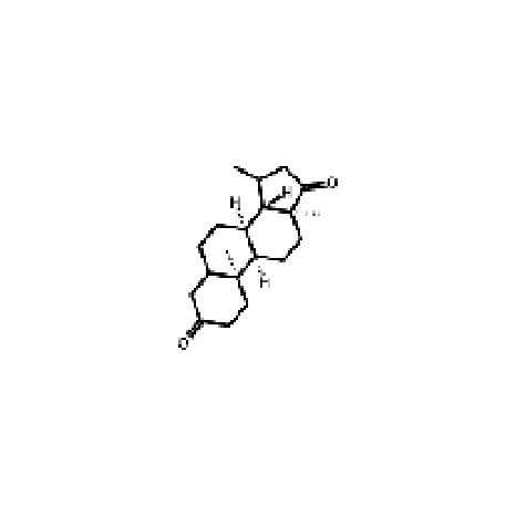 CC1CC(=O)[C@@]2(C)CC[C@@H]3[C@@H](CCC4CC(=O)CC[C@@]43C)[C@H]12